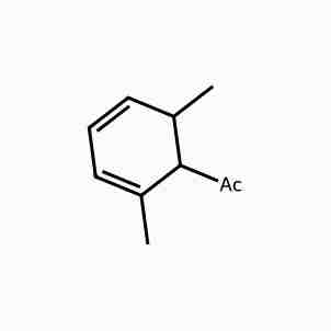 CC(=O)C1C(C)=CC=CC1C